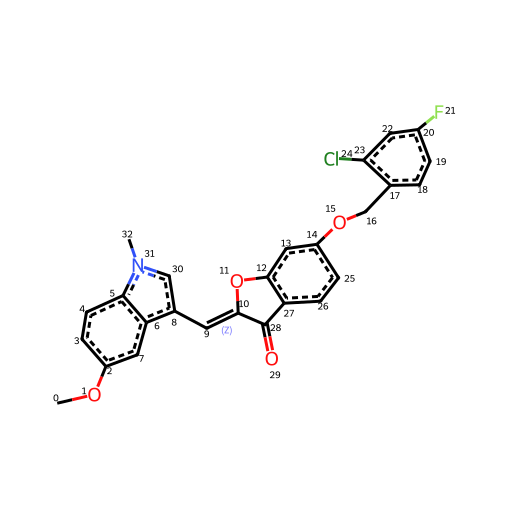 COc1ccc2c(c1)c(/C=C1\Oc3cc(OCc4ccc(F)cc4Cl)ccc3C1=O)cn2C